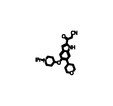 CC(C)N1CCC(Oc2cc3cc(C(=O)CC#N)[nH]c3cc2C2CCOCC2)CC1